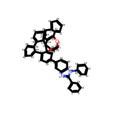 c1ccc(-c2nc3cc(-c4ccc5c(c4)C4(c6ccccc6Oc6c4ccc4ccccc64)c4ccccc4-c4ccccc4-5)ccc3n2-c2ccccc2)cc1